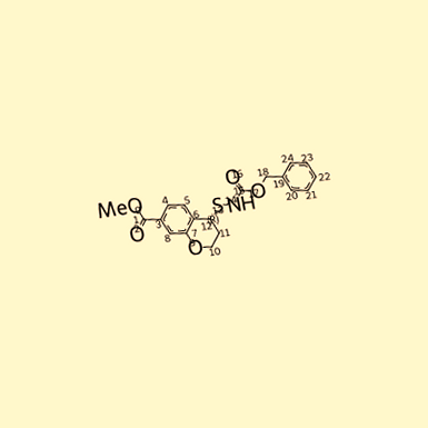 COC(=O)c1ccc2c(c1)OCC[C@H]2SNC(=O)OCc1ccccc1